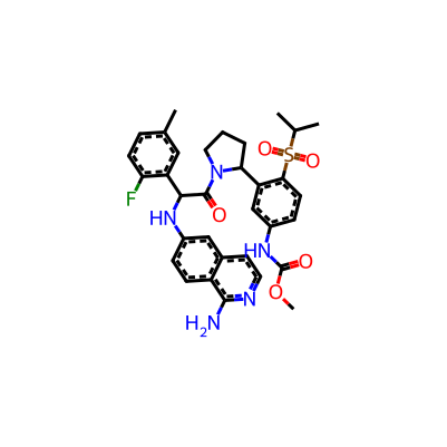 COC(=O)Nc1ccc(S(=O)(=O)C(C)C)c(C2CCCN2C(=O)C(Nc2ccc3c(N)nccc3c2)c2cc(C)ccc2F)c1